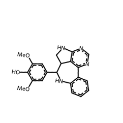 COc1cc(C2Nc3ccccc3-c3ncnc4c3C2CN4)cc(OC)c1O